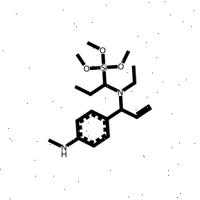 C=CC(c1ccc(NC)cc1)N(CC)C(CC)[Si](OC)(OC)OC